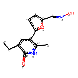 CCc1cc(-c2ccc(C=NO)o2)c(C)[nH]c1=O